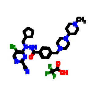 CN1CCC(N2CCN(Cc3ccc(C(=O)NN(CC4CCCC4)c4nc(C#N)ncc4Br)cc3)CC2)CC1.O=C(O)C(F)(F)F